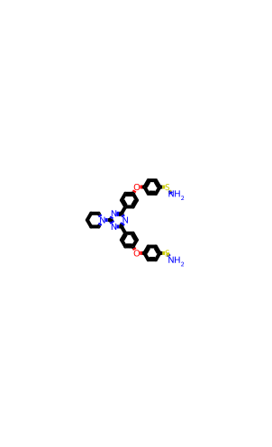 NSc1ccc(Oc2ccc(-c3nc(-c4ccc(Oc5ccc(SN)cc5)cc4)nc(N4CCCCC4)n3)cc2)cc1